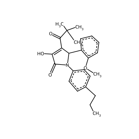 CCCc1ccc(N2C(=O)C(O)=C(C(=O)C(C)(C)C)C2c2ccccc2OC)cc1